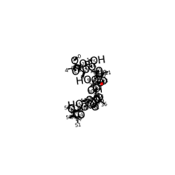 COC1[C@H](C)O[C@H](CCO)[C@@H]1OP(=O)(CO)OC[C@H]1O[C@@H](C)C(OC)[C@H]1OP(=O)(CO)OC[C@H]1O[C@@H](C)C(OC)[C@H]1OP(=O)(CO)OC[C@H]1O[C@@H](C)C(C)[C@H]1OC